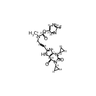 CN(CC#Cc1nc2c([nH]1)c(=O)n(C1CC1)c(=O)n2C1CC1)C(=O)Oc1cnc(F)nc1